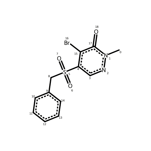 Cn1ncc(S(=O)(=O)Cc2ccccc2)c(Br)c1=O